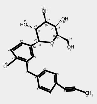 CC#Cc1ccc(Cc2cc([C@@H]3O[C@H](CO)[C@@H](O)[C@H](O)[C@H]3O)ccc2Cl)cc1